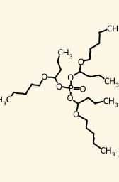 CCCCCOC(CCC)OP(=O)(OC(CCC)OCCCCC)OC(CCC)OCCCCC